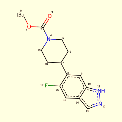 CC(C)(C)OC(=O)N1CCC(c2cc3[nH]ncc3cc2F)CC1